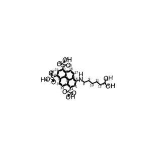 O=S(=O)(O)c1cc(NCCCCCC(O)O)c2ccc3c(S(=O)(=O)O)cc(S(=O)(=O)O)c4ccc1c2c34